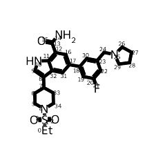 CCS(=O)(=O)N1CCC(c2c[nH]c3c(C(N)=O)cc(-c4cc(F)cc(CN5CCCC5)c4)cc23)CC1